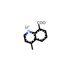 Cc1ccnc2c(C(=O)[O-])cccc12.[Li+]